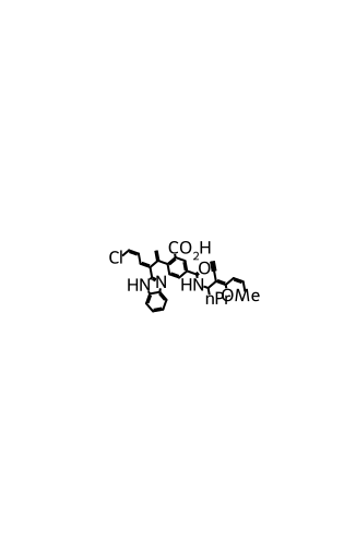 C#C/C(=C(\C=C/C)OC)C(CCC)NC(=O)c1ccc(C(=C)/C(=C\C=C/Cl)c2nc3ccccc3[nH]2)c(C(=O)O)c1